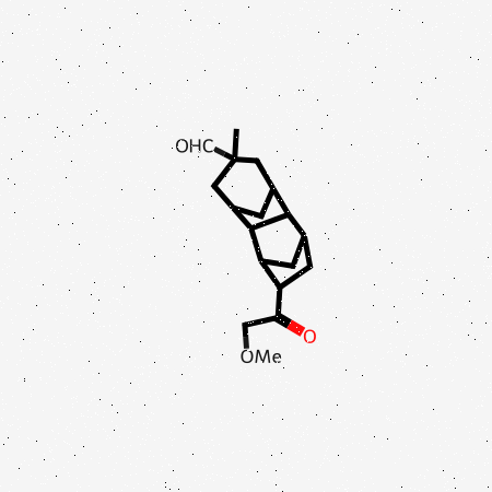 COCC(=O)C1CC2CC1C1C3CC(CC(C)(C=O)C3)C21